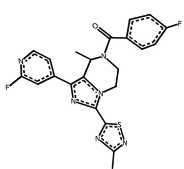 Cc1nsc(-c2nc(-c3ccnc(F)c3)c3n2CCN(C(=O)c2ccc(F)cc2)C3C)n1